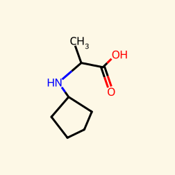 CC(NC1CCCC1)C(=O)O